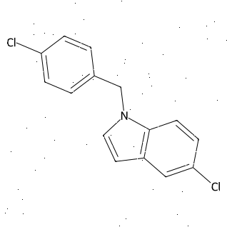 Clc1ccc(Cn2ccc3cc(Cl)ccc32)cc1